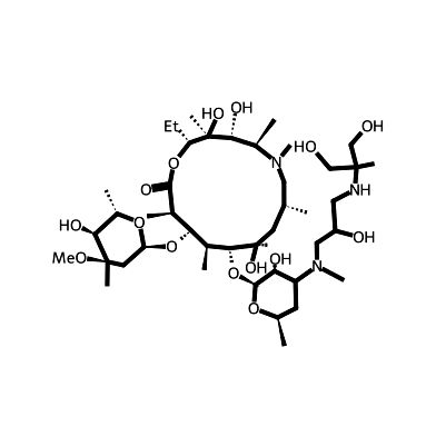 CC[C@H]1OC(=O)[C@H](C)[C@@H](O[C@H]2C[C@@](C)(OC)[C@@H](O)[C@H](C)O2)[C@H](C)[C@@H](O[C@@H]2O[C@H](C)CC(N(C)CC(O)CNC(C)(CO)CO)[C@H]2O)[C@](C)(O)C[C@@H](C)CN(C)[C@H](C)[C@@H](O)[C@]1(C)O